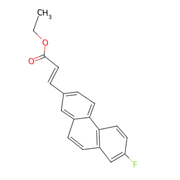 CCOC(=O)C=Cc1ccc2c(ccc3cc(F)ccc32)c1